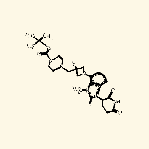 Cn1c(=O)n(C2CCC(=O)NC2=O)c2cccc(N3CC(F)(CN4CCN(C(=O)OC(C)(C)C)CC4)C3)c21